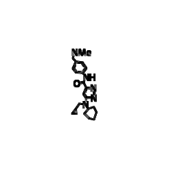 CNCc1ccc(NC(=O)c2cc(N(CC3CC3)C3CCCCC3)ncn2)cc1